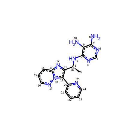 C[C@H](Nc1ncnc(N)c1N)c1nc2cccnn2c1-c1ccccn1